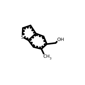 Cc1cc2sccc2cc1CO